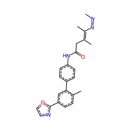 C/N=N\C(C)=C(/C)CC(=O)Nc1ccc(-c2cc(-c3ncco3)ccc2C)cc1